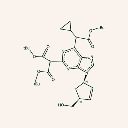 CC(C)(C)OC(=O)N(C(=O)OC(C)(C)C)c1nc(N(C(=O)OC(C)(C)C)C2CC2)c2ncn([C@H]3C=C[C@@H](CO)C3)c2n1